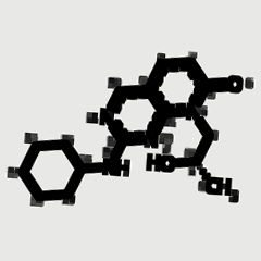 C[C@H](O)Cn1c(=O)ccc2cnc(NC3CCCCC3)nc21